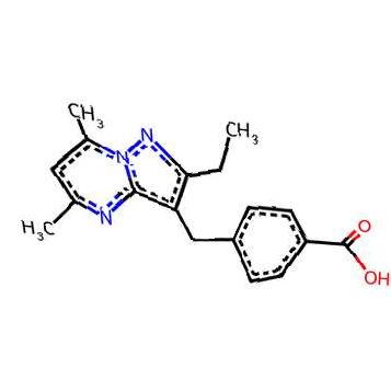 CCc1nn2c(C)cc(C)nc2c1Cc1ccc(C(=O)O)cc1